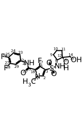 Cn1cc(S(=O)(=O)N[C@@H]2CCC[C@]2(O)CO)c(F)c1C(=O)Nc1ccc(F)c(F)c1